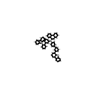 C1=CC2c3ccccc3OC2C(c2cccc(-c3ccc(N(c4cccc(-c5ccccc5-n5c6ccccc6c6ccccc65)c4)c4cc5ccccc5c5ccccc45)cc3)c2)=C1